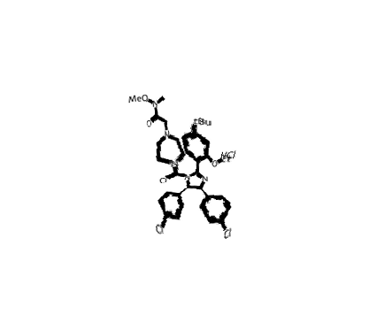 CCOc1cc(C(C)(C)C)ccc1C1=N[C@@H](c2ccc(Cl)cc2)[C@@H](c2ccc(Cl)cc2)N1C(=O)N1CCN(CC(=O)N(C)OC)CC1.Cl